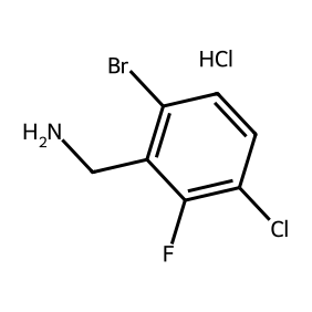 Cl.NCc1c(Br)ccc(Cl)c1F